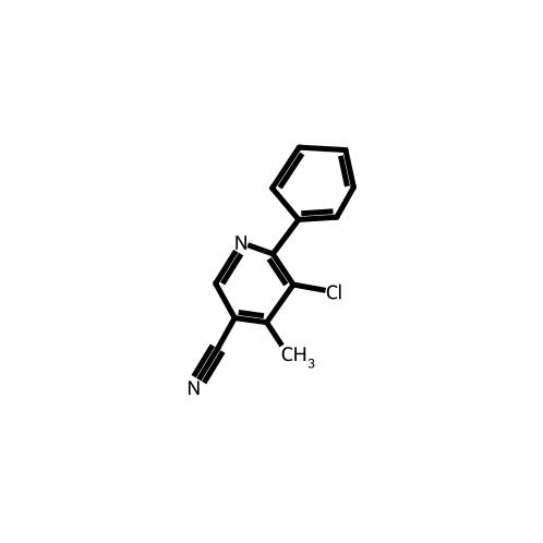 Cc1c(C#N)cnc(-c2ccccc2)c1Cl